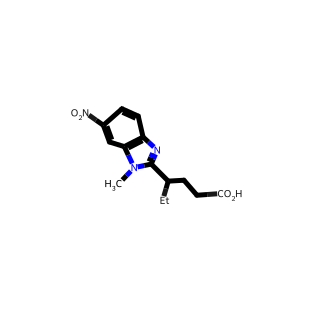 CCC(CCC(=O)O)c1nc2ccc([N+](=O)[O-])cc2n1C